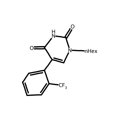 CCCCCCn1cc(-c2ccccc2C(F)(F)F)c(=O)[nH]c1=O